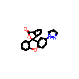 O=C1OC2(c3ccccc3Oc3ccc(-n4cccn4)cc32)c2ccccc21